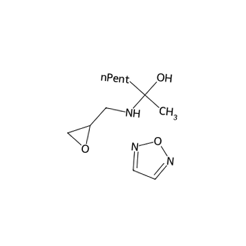 CCCCCC(C)(O)NCC1CO1.c1cnon1